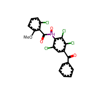 COc1cccc(Cl)c1C(=O)[PH](=O)c1c(Cl)cc(C(=O)c2ccccc2)c(Cl)c1Cl